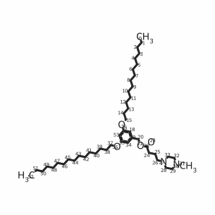 CCCCCCCCCCCCCCCCOc1cc(COC(=O)CCCN2CCN(C)CC2)cc(OCCCCCCCCCCCCCCCC)c1